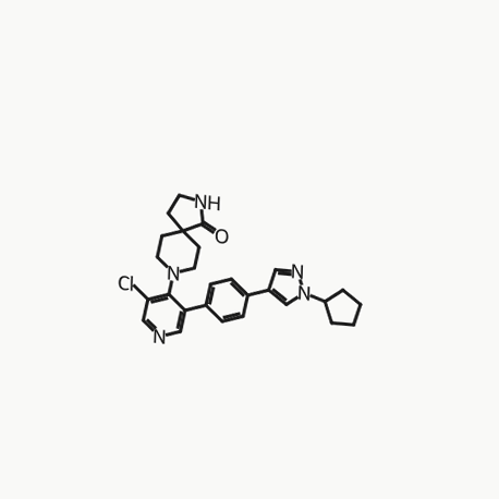 O=C1NCCC12CCN(c1c(Cl)cncc1-c1ccc(-c3cnn(C4CCCC4)c3)cc1)CC2